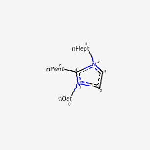 CCCCCCCC[n+]1ccn(CCCCCCC)c1CCCCC